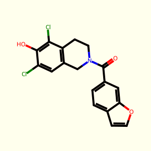 O=C(c1ccc2ccoc2c1)N1CCc2c(cc(Cl)c(O)c2Cl)C1